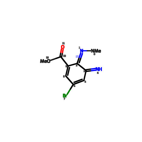 CN/N=C1\C(=N)C=C(Br)C=C1C(=O)OC